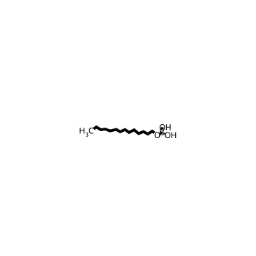 CCCCCCCCCCCCCCOB(O)O